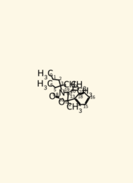 CCCC(C)(CC)N1C(=O)OC(C)(c2ccccc2)[C@@H]1C(C)C